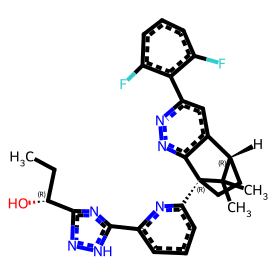 CC[C@@H](O)c1n[nH]c(-c2cccc([C@]34CC[C@@H](c5cc(-c6c(F)cccc6F)nnc53)C4(C)C)n2)n1